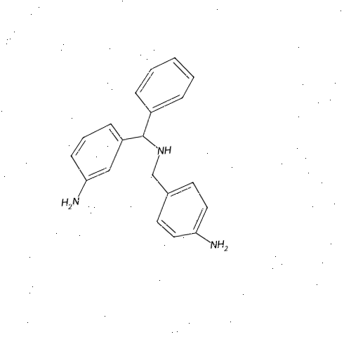 Nc1ccc(CNC(c2ccccc2)c2cccc(N)c2)cc1